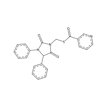 O=C(SCN1C(=O)C(c2ccccc2)N(c2ccccc2)C1=O)c1cccnc1